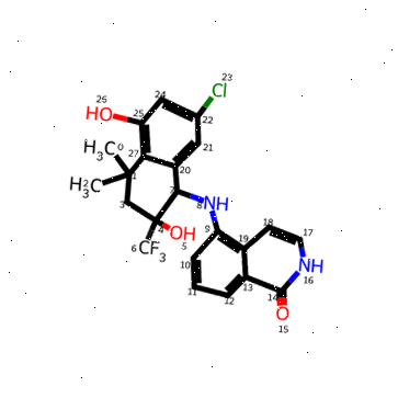 CC1(C)CC(O)(C(F)(F)F)C(Nc2cccc3c(=O)[nH]ccc23)c2cc(Cl)cc(O)c21